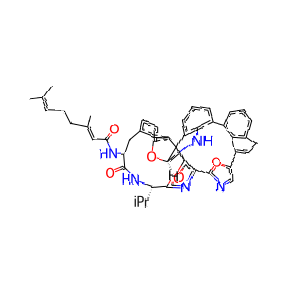 CC(C)=CCC/C(C)=C/C(=O)NC1Cc2ccc3c(c2)C24c5cccc(c5N[C@H]2O3)-c2cccc3c2C(=CC3)c2cnc(o2)-c2nc(oc24)[C@H](C(C)C)NC1=O